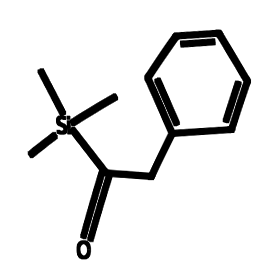 C[Si](C)(C)C(=O)Cc1ccccc1